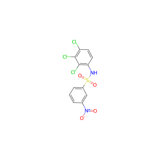 O=[N+]([O-])c1cccc(S(=O)(=O)Nc2ccc(Cl)c(Cl)c2Cl)c1